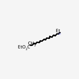 CC/C=C\CC=CCC=CCC=CCC=CCC=CCC(C)C(=O)OCC